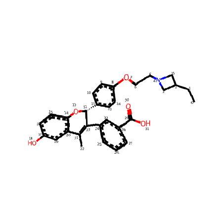 CCC1CN(CCOc2ccc([C@H]3Oc4ccc(O)cc4C(C)=C3c3cccc(C(=O)O)c3)cc2)C1